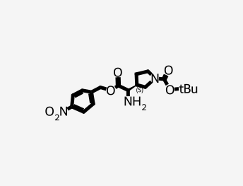 CC(C)(C)OC(=O)N1CC[C@H](C(N)C(=O)OCc2ccc([N+](=O)[O-])cc2)C1